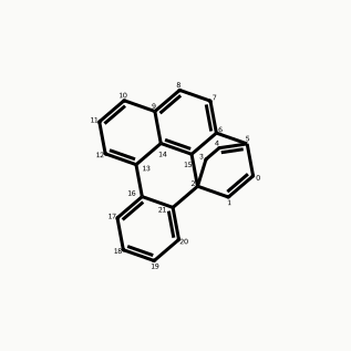 C1=CC23CC=C1c1ccc4cccc(c4c12)-c1ccccc13